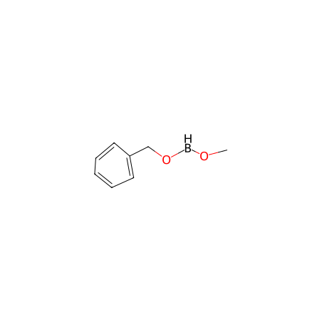 COBOCc1ccccc1